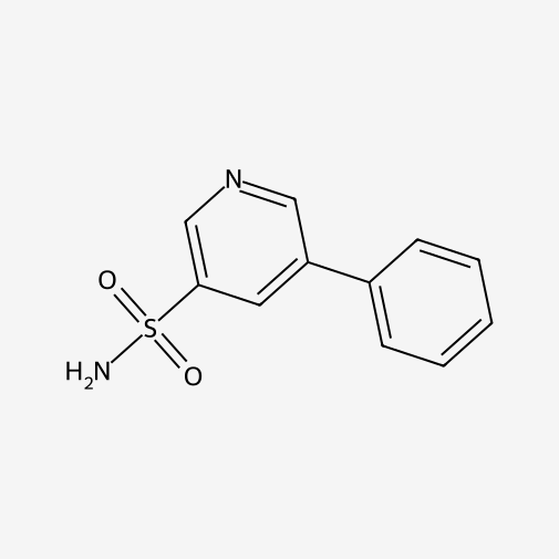 NS(=O)(=O)c1cncc(-c2ccccc2)c1